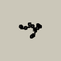 CS(=O)(=O)N1CCc2c(c(-c3ccc(Cl)c(C#Cc4ccc(CN5CCCCC5)cc4)c3)nn2CCCN2CCOCC2)C1